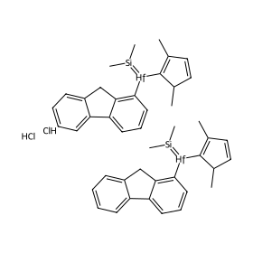 CC1=[C]([Hf]([c]2cccc3c2Cc2ccccc2-3)=[Si](C)C)C(C)C=C1.CC1=[C]([Hf]([c]2cccc3c2Cc2ccccc2-3)=[Si](C)C)C(C)C=C1.Cl.Cl